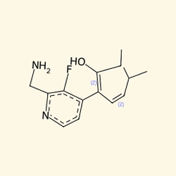 CC/C(O)=C(\C=C/C(C)C)c1ccnc(CN)c1F